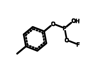 Cc1ccc(OP(O)OF)cc1